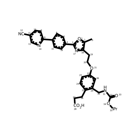 Cc1oc(-c2ccc(-c3ccc(C#N)cn3)cc2)nc1CCOc1ccc(CCC(=O)O)c(CNC(=O)OC(C)C)c1